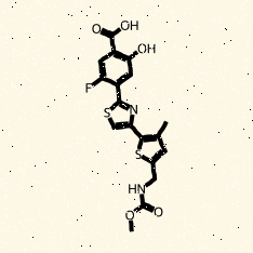 COC(=O)NCc1cc(C)c(-c2csc(-c3cc(O)c(C(=O)O)cc3F)n2)s1